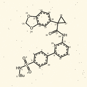 CC(C)(C)NS(=O)(=O)c1ccc(-c2cccc(NC(=O)C3(c4ccc5c(c4)OCO5)CC3)n2)cc1